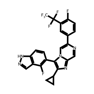 Fc1ccc(-c2cn3c(-c4ccc5[nH]ncc5c4F)c(C4CC4)nc3cn2)cc1C(F)(F)C(F)(F)F